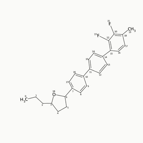 CCCC1CCC(c2ccc(-c3ccc(-c4ccc(C)c(F)c4F)cc3)cc2)O1